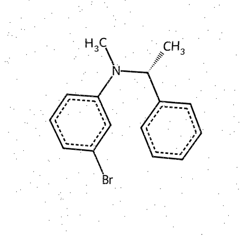 C[C@H](c1ccccc1)N(C)c1cccc(Br)c1